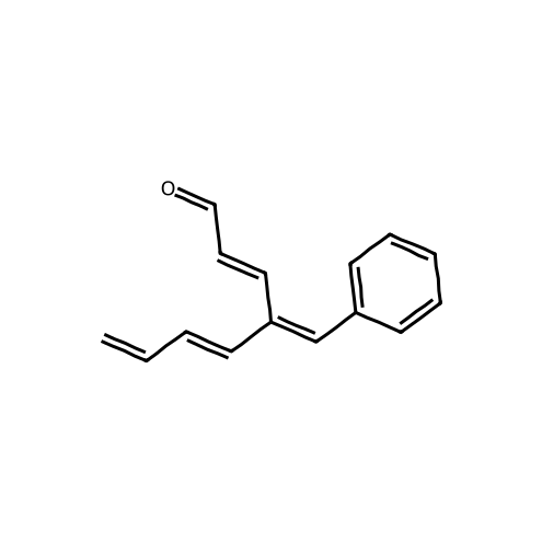 C=CC=CC(C=CC=O)=Cc1ccccc1